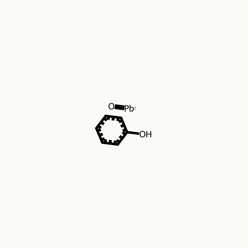 Oc1ccccc1.[O]=[Pb]